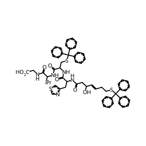 CC(C)C(NC(=O)C(CSC(c1ccccc1)(c1ccccc1)c1ccccc1)NC(=O)C(Cc1cscn1)NC(=O)CC(O)C=CCCSC(c1ccccc1)(c1ccccc1)c1ccccc1)C(=O)NCC(=O)O